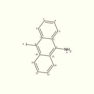 Nc1c2ccccc2c(I)c2ccccc12